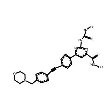 CC(C)NC(=O)Nc1nc(C(=O)NO)cc(-c2ccc(C#Cc3ccc(CN4CCOCC4)cc3)cc2)n1